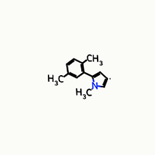 Cc1ccc(C)c(-c2c[c]cn2C)c1